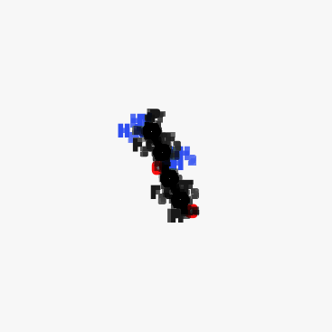 CC(C)Nc1ccc(C(c2ccc(NC(=O)c3ccc(C(c4ccc(C(=O)C(C)C)cc4)(C(F)(F)F)C(F)(F)F)cc3)c(N)c2)(C(F)(F)F)C(F)(F)F)cc1N